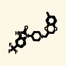 Cc1ccc2c(c1)OC(CN1CCC(n3c(=O)[nH]c4cc(C(F)(F)F)ccc43)CC1)CO2